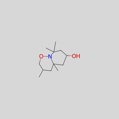 CC1CON2C(C)(C)CC(O)CC2(C)C1